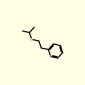 CC(C)OCCc1ccccn1